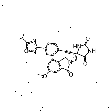 COc1ccc2c(c1)C(=O)N(C[C@@]1(C#Cc3ccc(-c4noc(C(C)C)n4)cc3)NC(=O)NC1=O)C2